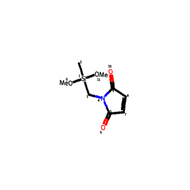 CO[Si](C)(CN1C(=O)C=CC1=O)OC